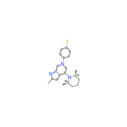 Cc1cc2c(N3[C@H](C)CCC[C@@H]3C)cn(-c3ccc(F)cc3)cc-2n1